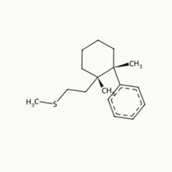 CSCC[C@]1(C)CCCC[C@]1(C)c1ccccc1